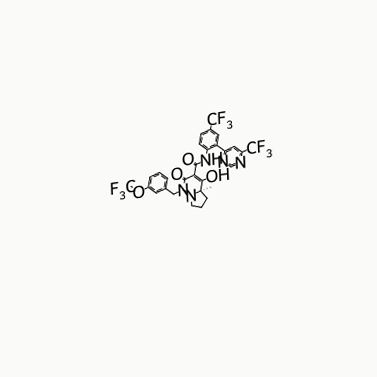 C[C@]12CCCN1N(Cc1cccc(OC(F)(F)F)c1)C(=O)C(C(=O)Nc1ccc(C(F)(F)F)cc1-c1cc(C(F)(F)F)ncn1)=C2O